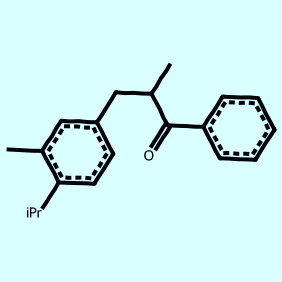 Cc1cc(CC(C)C(=O)c2ccccc2)ccc1C(C)C